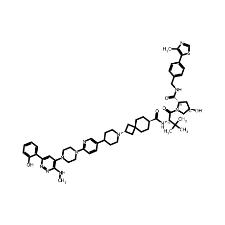 CNc1nnc(-c2ccccc2O)cc1N1CCN(c2ccc(C3CCN([C@H]4CC5(CC[C@H](C(=O)N[C@H](C(=O)N6C[C@H](O)C[C@H]6C(=O)NCc6ccc(-c7scnc7C)cc6)C(C)(C)C)CC5)C4)CC3)cn2)CC1